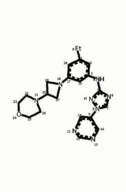 CCc1cc(Nc2ncn(-c3cncnc3)n2)cc(N2CC(N3CCOCC3)C2)c1